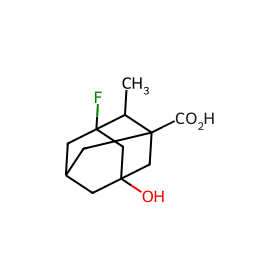 CC1C2(F)CC3CC(O)(C2)CC1(C(=O)O)C3